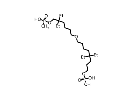 CCC(CC)(CCCCOCCCCC(CC)(CC)COP(C)(=O)O)CCCOP(=O)(O)O